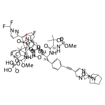 COC(=O)N[C@H](C(=O)N[C@@H](Cc1ccc(C#Cc2cnc(N3CC4CCC(C3)N4C3COC3)nc2)cc1)[C@H](CN(Cc1c(F)cc(-c2ccn(C(F)F)n2)cc1F)NC(=O)[C@@H](NC(=O)OC)C(C)(C)C(F)(F)F)OC(=O)CC(C)(C)c1c(CC(=O)N2CCC[C@H]2C(=O)OC(C)(C)C)cccc1OP(=O)(O)O)C(C)(C)C(F)(F)F